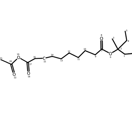 CCC(C)(CC)OC(=O)CCCCCCCCC(=O)OC(C)=O